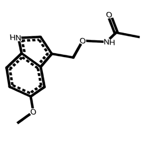 COc1ccc2[nH]cc(CONC(C)=O)c2c1